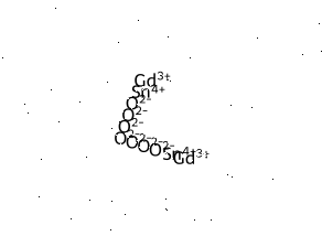 [Gd+3].[Gd+3].[O-2].[O-2].[O-2].[O-2].[O-2].[O-2].[O-2].[Sn+4].[Sn+4]